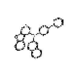 c1ccc(-c2ccc(N(c3ccc4ccccc4c3)c3cncc4oc5ccccc5c34)cc2)cc1